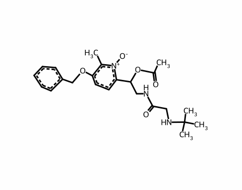 CC(=O)OC(CNC(=O)CNC(C)(C)C)c1ccc(OCc2ccccc2)c(C)[n+]1[O-]